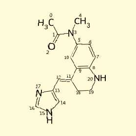 CC(=O)N(C)c1ccc2c(c1)/C(=C/c1c[nH]cn1)CCN2